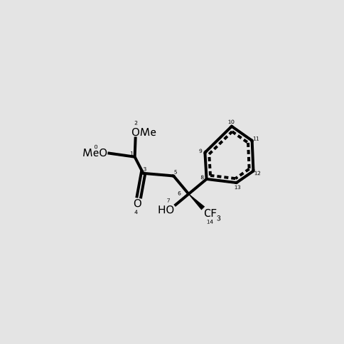 COC(OC)C(=O)C[C@@](O)(c1ccccc1)C(F)(F)F